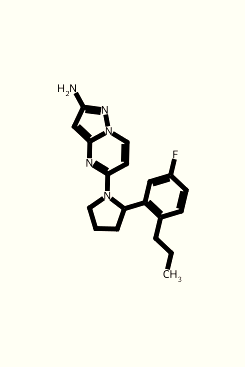 CCCc1ccc(F)cc1C1CCCN1c1ccn2nc(N)cc2n1